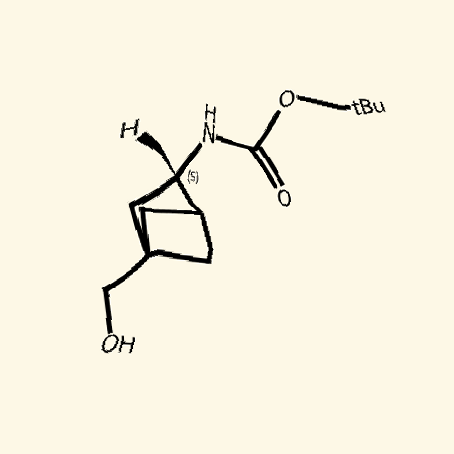 CC(C)(C)OC(=O)N[C@H]1CC2(CO)CC1C2